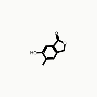 Cc1cc2c(cc1O)C(=O)OC2